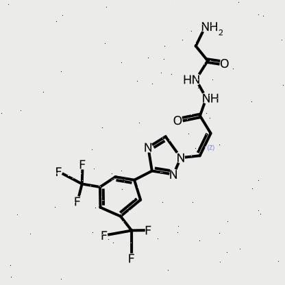 NCC(=O)NNC(=O)/C=C\n1cnc(-c2cc(C(F)(F)F)cc(C(F)(F)F)c2)n1